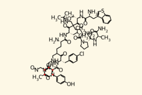 CC(=O)N(CN=O)N(C)[C@@H](Cc1ccc(O)cc1)C(=O)N[C@@H](Cc1ccc(Cl)cc1)C(=O)C(CC[C@H](N)C(=O)N[C@@H](CC(C)C)C(=O)C(CC[C@H](N)C(=O)N1CCC[C@H]1C(=O)N[C@H](C)C(N)=O)(CNC(C)C)C(=O)[C@H](CO)NC(=O)[C@@H](N)Cc1csc2ccccc12)CNCc1cccnc1